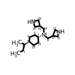 CCC(C)[C@H]1CC[C@H](N(CC2CNC2)CC2CNC2)CC1